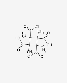 CC1(C(=O)O)C(C)(C(=O)Cl)C(C)(C(=O)O)C1(C)C(=O)Cl